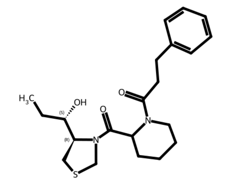 CC[C@H](O)[C@@H]1CSCN1C(=O)C1CCCCN1C(=O)CCc1ccccc1